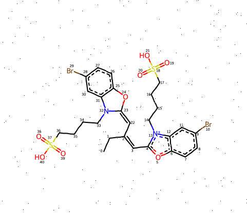 CCC(=Cc1oc2ccc(Br)cc2[n+]1CCCCS(=O)(=O)O)C=C1Oc2ccc(Br)cc2N1CCCCS(=O)(=O)O